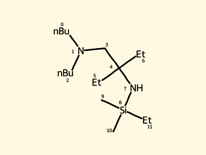 CCCCN(CCCC)CC(CC)(CC)N[Si](C)(C)CC